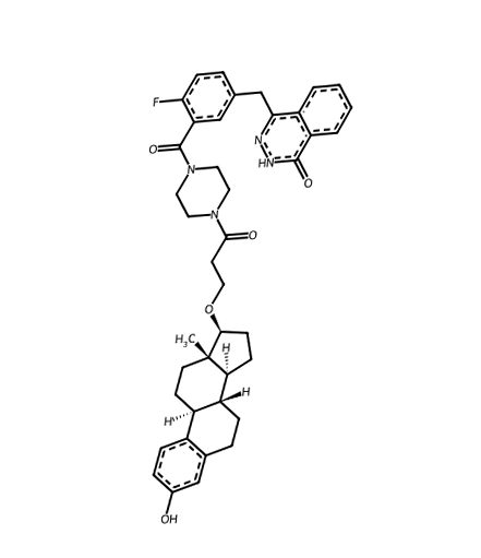 C[C@]12CC[C@@H]3c4ccc(O)cc4CC[C@H]3[C@@H]1CC[C@@H]2OCCC(=O)N1CCN(C(=O)c2cc(Cc3n[nH]c(=O)c4ccccc34)ccc2F)CC1